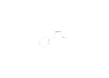 CC1=NN(c2ccccc2Cl)CC1=O